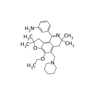 CCOc1c(CN2CCCCC2)c2c(c3c1OC(C)(C)C3)C(c1cccc(N)c1)=NC(C)(C)C2